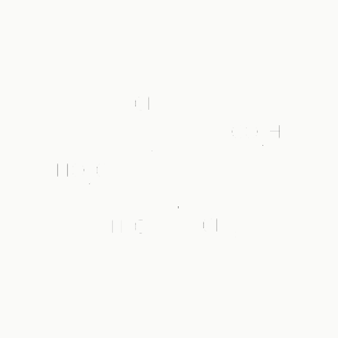 CC1(C)C(C(=O)O)C1(C)C(=O)O